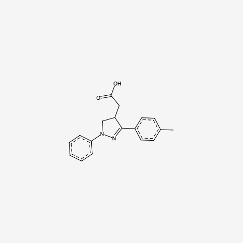 Cc1ccc(C2=NN(c3ccccc3)CC2CC(=O)O)cc1